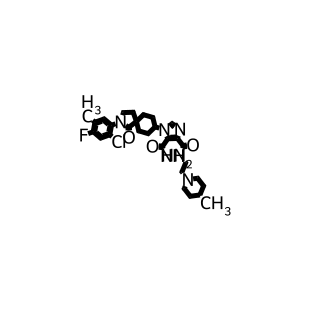 Cc1cc(N2CCC3(CCC(n4cnc(C(=O)NCCN5CCC(C)CC5)c4C(N)=O)CC3)C2=O)c(Cl)cc1F